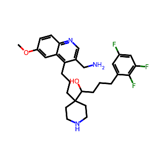 COc1ccc2ncc(CN)c(CCCC3(C(O)CCCc4cc(F)cc(F)c4F)CCNCC3)c2c1